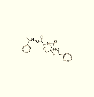 CC(=NOC(=O)[C@@H]1CC[C@@H]2CN1C(=O)N2OCc1ccccc1)c1ccccc1